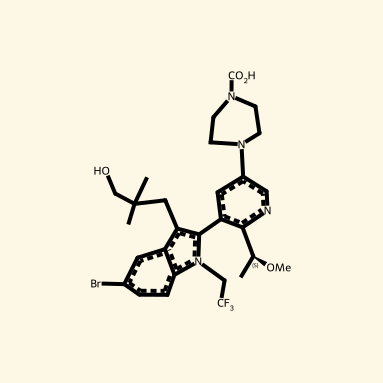 CO[C@@H](C)c1ncc(N2CCN(C(=O)O)CC2)cc1-c1c(CC(C)(C)CO)c2cc(Br)ccc2n1CC(F)(F)F